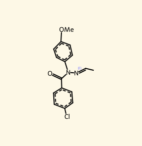 C/C=N/N(C(=O)c1ccc(Cl)cc1)c1ccc(OC)cc1